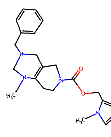 CN1CN(Cc2ccccc2)CC2=C1CCN(C(=O)OCc1cccn1C)C2